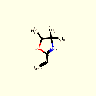 C=CC1=NC(C)(C)C(C)O1